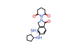 N[C@H]1CCC[C@@H]1Nc1ccc2c(c1)CN(N1C(=O)CCCC1=O)C2=O